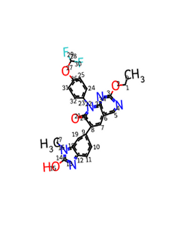 CCOc1ncc2cc(-c3ccc4nc(O)n(C)c4c3)c(=O)n(-c3ccc(OC(F)F)cc3)c2n1